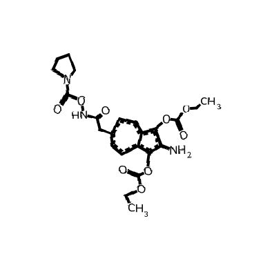 CCOC(=O)Oc1c2ccc(CC(=O)NOC(=O)N3CCCC3)ccc-2c(OC(=O)OCC)c1N